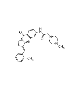 Cc1ccccc1C=C1CCn2c1nc1cc(NC(=O)CN3CCN(C)CC3)ccc1c2=O